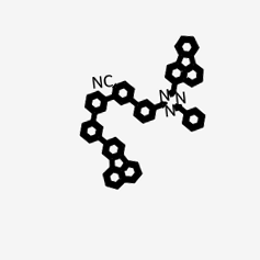 N#Cc1ccc(-c2cccc(-c3nc(-c4ccccc4)nc(-c4ccc5c6c(cccc46)-c4ccccc4-5)n3)c2)cc1-c1cccc(-c2cccc(-c3ccc4c(c3)-c3cccc5cccc-4c35)c2)c1